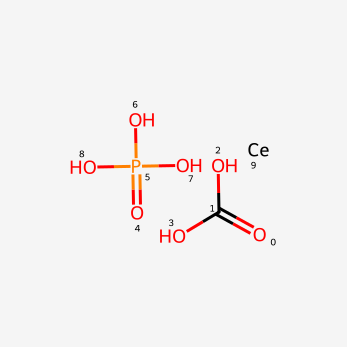 O=C(O)O.O=P(O)(O)O.[Ce]